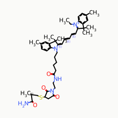 CC[N+]1=C(/C=C/C=C/C=C2/N(CCCCCC(=O)NCCN3C(=O)CC(SC[C@@H](C)C(N)=O)C3=O)c3ccc(C)cc3C2(C)C)C(C)(C)c2cc(C)ccc21